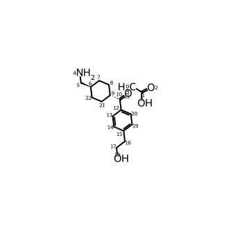 CC(=O)O.NC[C@H]1CC[C@H](C(=O)c2ccc(CCO)cc2)CC1